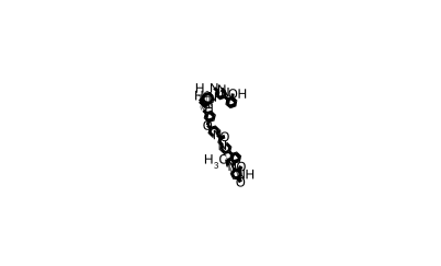 C[C@@H]1CN([C@@H]2CCC(=O)NC2=O)c2cccc(C3CCN(CC(=O)N4CCC(Oc5cccc(C[C@@H]6C7C8[C@@H]7CCN(c7cc(-c9ccccc9O)nnc7N)C[C@@H]86)c5)CC4)CC3)c21